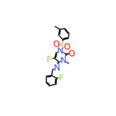 Cc1cccc(S(=O)(=O)n2cc(F)/c(=N\Cc3ccccc3F)n(C)c2=O)c1